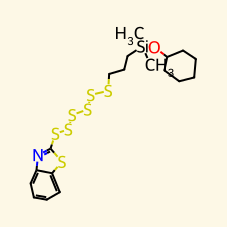 C[Si](C)(CCCSSSSSSc1nc2ccccc2s1)OC1CCCCC1